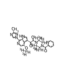 [2H]C([2H])([2H])Oc1cnc(-n2cnc(C)n2)c2[nH]cc(C(=O)C(=O)N3C([2H])([2H])C([2H])([2H])N(C(=O)c4ccccn4)C([2H])([2H])C3([2H])[2H])c12